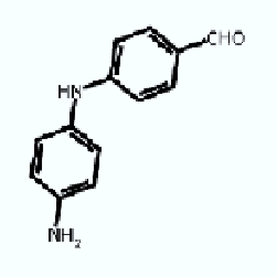 Nc1ccc(Nc2ccc(C=O)cc2)cc1